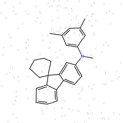 Cc1cc(C)cc(N(C)c2ccc3c(c2)C2(CCCCC2)c2ccccc2-3)c1